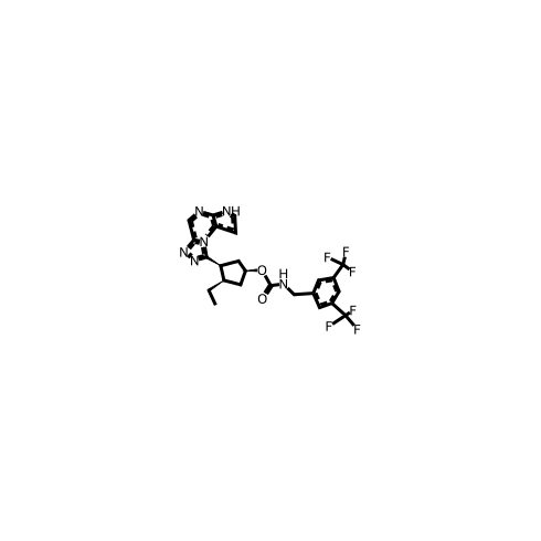 CC[C@@H]1C[C@H](OC(=O)NCc2cc(C(F)(F)F)cc(C(F)(F)F)c2)C[C@@H]1c1nnc2cnc3[nH]ccc3n12